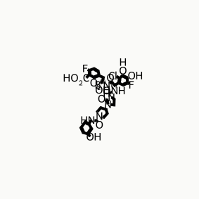 O=C(O)c1c(F)ccc2c1OB(O)[C@@H](NC(=O)[C@H](NC(=O)N1CCN(C3CCN(C(=O)Nc4cccc(O)c4)CC3)C1=O)c1cc(F)c(O)c(O)c1Cl)C2